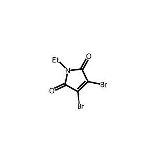 CCN1C(=O)C(Br)=C(Br)C1=O